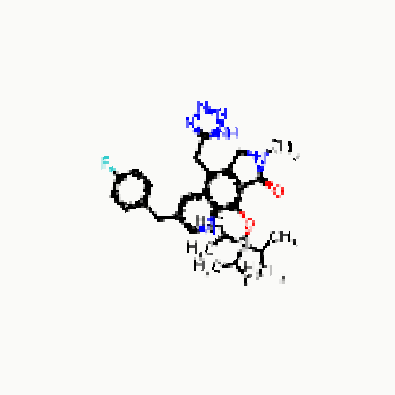 CC(C)[Si](Oc1c2c(c(Cc3nnn[nH]3)c3cc(Cc4ccc(F)cc4)cnc13)CN(C)C2=O)(C(C)C)C(C)C